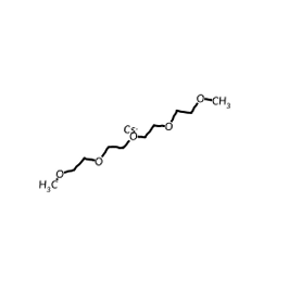 COCCOCCOCCOCCOC.[Cs]